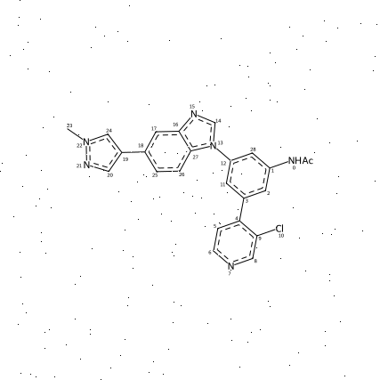 CC(=O)Nc1cc(-c2ccncc2Cl)cc(-n2cnc3cc(-c4cnn(C)c4)ccc32)c1